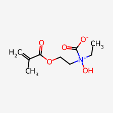 C=C(C)C(=O)OCC[N+](O)(CC)C(=O)[O-]